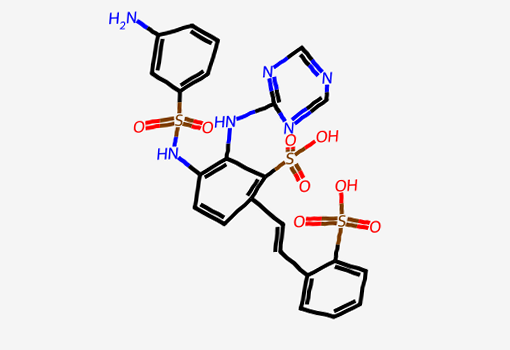 Nc1cccc(S(=O)(=O)Nc2ccc(C=Cc3ccccc3S(=O)(=O)O)c(S(=O)(=O)O)c2Nc2ncncn2)c1